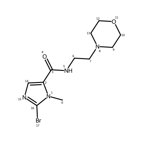 Cn1c(C(=O)NCCN2CCOCC2)cnc1Br